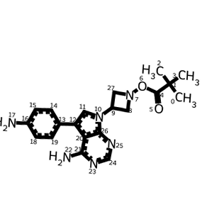 CC(C)(C)C(=O)ON1CC(n2cc(-c3ccc(N)cc3)c3c(N)ncnc32)C1